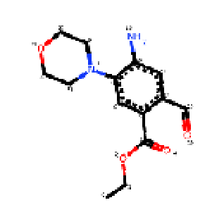 CCOC(=O)c1cc(N2CCOCC2)c(N)cc1C=O